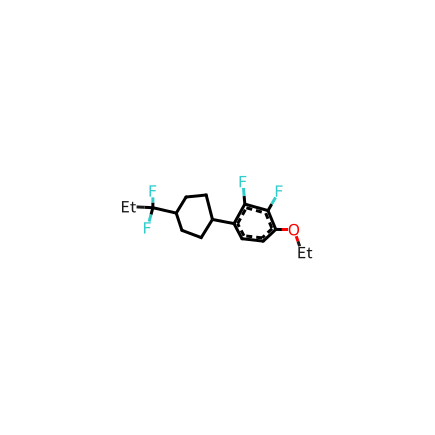 CCOc1ccc(C2CCC(C(F)(F)CC)CC2)c(F)c1F